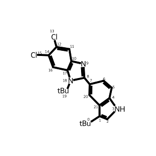 CC(C)(C)c1c[nH]c2ccc(-c3nc4cc(Cl)c(Cl)cc4n3C(C)(C)C)cc12